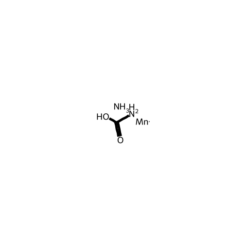 N.NC(=O)O.[Mn]